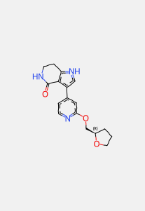 O=C1NCCc2[nH]cc(-c3ccnc(OC[C@H]4CCCO4)c3)c21